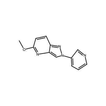 COc1ccc2nn(-c3cccnc3)cc2n1